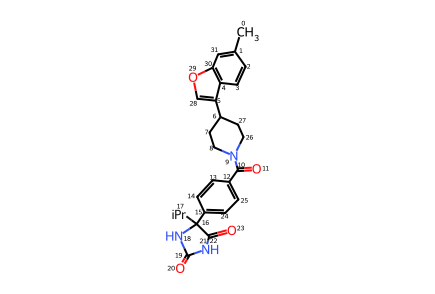 Cc1ccc2c(C3CCN(C(=O)c4ccc(C5(C(C)C)NC(=O)NC5=O)cc4)CC3)coc2c1